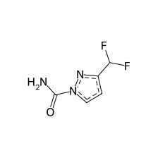 NC(=O)n1ccc(C(F)F)n1